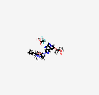 CC(C)(O)COc1cc(-c2ccc(N3CCC(C)(NC(=O)C(C)(C)c4ccccc4)CC3)nc2)c2c(C#N)cnn2c1.O=C(O)C(F)(F)F